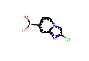 OB(O)c1ccn2cc(Cl)nc2c1